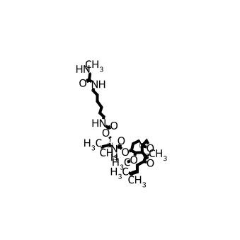 CNCC(=O)NCCCCCCNC(=O)OC[C@H](NC(=O)OC1CC[C@]2(CO2)C([C@]2(C)OC2CC=C(C)C)C1OC)C(C)C